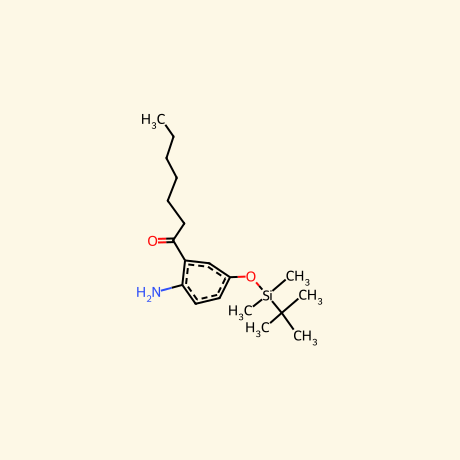 CCCCCCC(=O)c1cc(O[Si](C)(C)C(C)(C)C)ccc1N